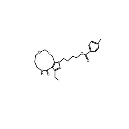 CCc1nn(CCCCOC(=O)c2ccc(C)cc2)c2c1C(=O)NCCCOCCC2